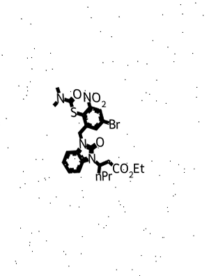 CCCC(CC(=O)OCC)n1c(=O)n(Cc2cc(Br)cc([N+](=O)[O-])c2SC(=O)N(C)C)c2ccccc21